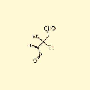 CCC(CC)(C[C]=O)C(=O)P=O